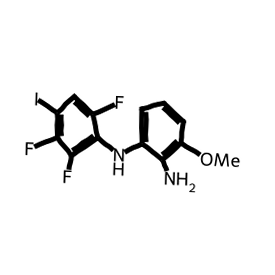 COc1cccc(Nc2c(F)cc(I)c(F)c2F)c1N